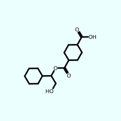 O=C(O)C1CCC(C(=O)OC(CO)C2CCCCC2)CC1